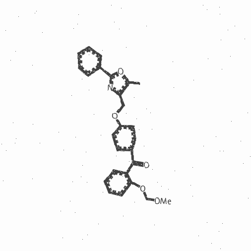 COCOc1ccccc1C(=O)c1ccc(OCc2nc(-c3ccccc3)oc2C)cc1